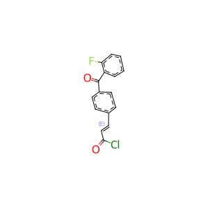 O=C(Cl)/C=C/c1ccc(C(=O)c2ccccc2F)cc1